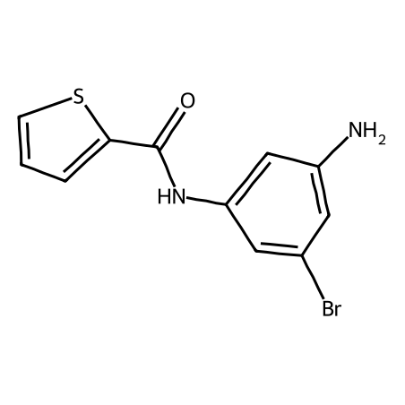 Nc1cc(Br)cc(NC(=O)c2cccs2)c1